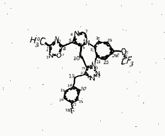 Cc1noc(-c2ncn3c2Cc2c(Cc4ccc(F)cc4)nnn2-c2cc(OC(F)(F)F)ccc2-3)n1